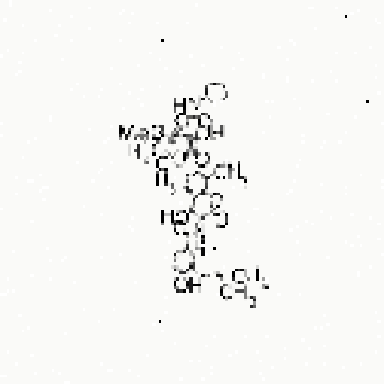 CO[C@@H]1[C@@H](OC(=O)NC2CCCC2)[C@@H](O)[C@H](Oc2ccc3c(O)c(NC(=O)c4ccc(O)c(CC=C(C)C)c4)c(=O)oc3c2C)OC1(C)C